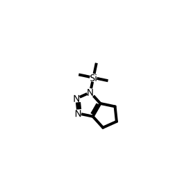 C[Si](C)(C)n1nnc2c1CCC2